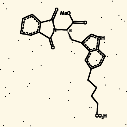 COC(=O)[C@H](Cc1c[nH]c2ccc(CCCCC(=O)O)cc12)N1C(=O)c2ccccc2C1=O